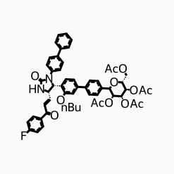 CCCCOc1cc(-c2ccc(C3O[C@H](COC(C)=O)[C@@H](OC(C)=O)[C@H](OC(C)=O)[C@H]3OC(C)=O)cc2)ccc1[C@@H]1[C@H](/C=C/C(=O)c2ccc(F)cc2)NC(=O)N1c1ccc(-c2ccccc2)cc1